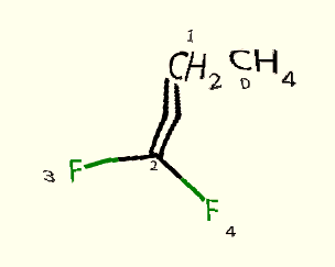 C.C=C(F)F